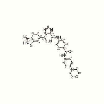 O=C(Nc1ccc(N2CCOCC2)nc1)c1ccc(Nc2ncc(-c3ccc4c(c3)CNC4=O)n3ncnc23)cc1